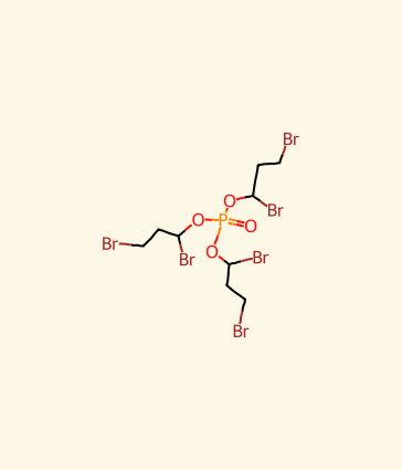 O=P(OC(Br)CCBr)(OC(Br)CCBr)OC(Br)CCBr